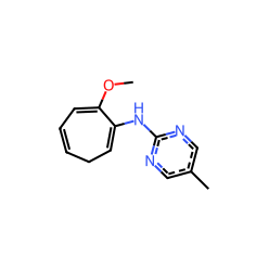 COC1=CC=CCC=C1Nc1ncc(C)cn1